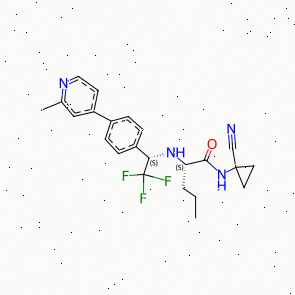 CCC[C@H](N[C@@H](c1ccc(-c2ccnc(C)c2)cc1)C(F)(F)F)C(=O)NC1(C#N)CC1